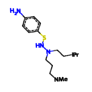 CNCCCN(CCC(C)C)NSc1ccc(N)cc1